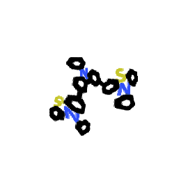 c1ccc(N2c3ccccc3Sc3cc(-c4ccc5c(c4)c4cc(-c6ccc7c(c6)Sc6ccccc6N7c6ccccc6)ccc4n5-c4ccccc4)ccc32)cc1